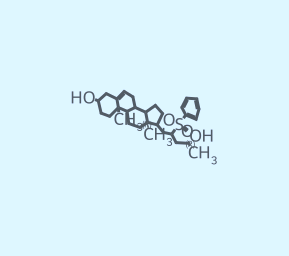 C[C@@H](O)CC(CC1CCC2C3CC=C4CC(O)CCC4(C)C3CC[C@]12C)S(=O)(=O)c1ccccc1